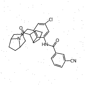 Cc1c(CN2CC3CCC(C2)N3C(=O)C2CCCC2)cc(Cl)cc1NC(=O)c1cccc(C#N)c1